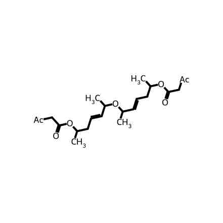 CC(=O)CC(=O)OC(C)CC=CC(C)OC(C)C=CCC(C)OC(=O)CC(C)=O